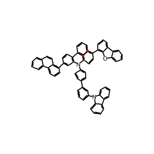 c1ccc(-c2ccc(-c3cccc4c3ccc3ccccc34)cc2N(c2ccc(-c3cccc(-n4c5ccccc5c5ccccc54)c3)cc2)c2ccc(-c3cccc4c3oc3ccccc34)cc2)cc1